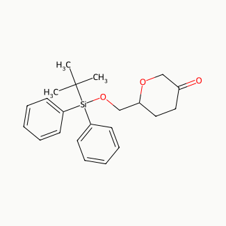 CC(C)(C)[Si](OCC1CCC(=O)CO1)(c1ccccc1)c1ccccc1